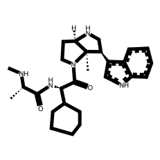 CN[C@@H](C)C(=O)N[C@H](C(=O)N1CC[C@H]2NC[C@@H](c3c[nH]c4ccccc34)[C@]21C)C1CCCCC1